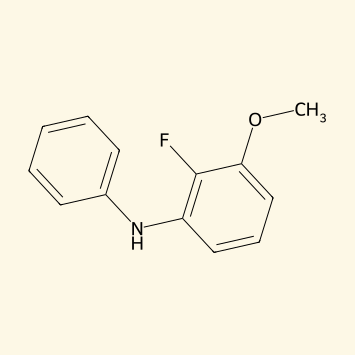 COc1cccc(Nc2ccccc2)c1F